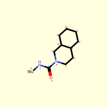 CC(C)(C)NC(=O)N1CCC2CCCCC2C1